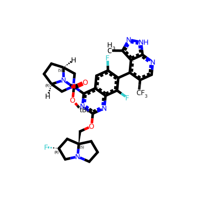 Cc1n[nH]c2ncc(C(F)(F)F)c(-c3c(F)cc4c(N5C[C@H]6CC[C@@H](C5)N6C(=O)OC(C)(C)C)nc(OC[C@@]56CCCN5C[C@H](F)C6)nc4c3F)c12